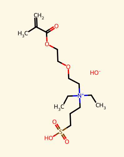 C=C(C)C(=O)OCCOCC[N+](CC)(CC)CCCS(=O)(=O)O.[OH-]